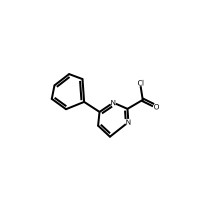 O=C(Cl)c1nccc(-c2ccccc2)n1